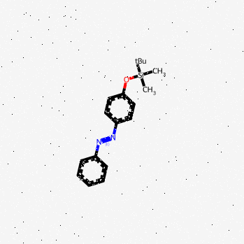 CC(C)(C)[Si](C)(C)Oc1ccc(/N=N/c2ccccc2)cc1